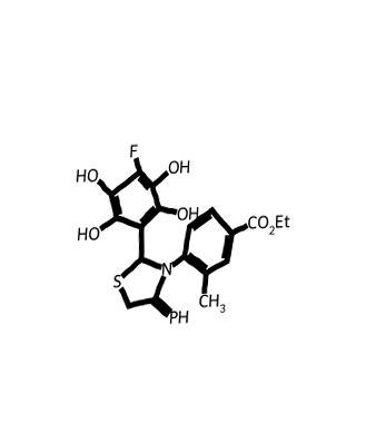 CCOC(=O)c1ccc(N2C(=P)CSC2c2c(O)c(O)c(F)c(O)c2O)c(C)c1